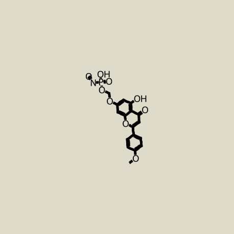 COc1ccc(-c2cc(=O)c3c(O)cc(OCOP(=O)(O)N=O)cc3o2)cc1